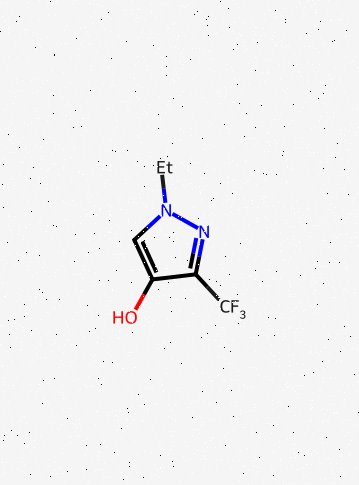 CCn1cc(O)c(C(F)(F)F)n1